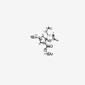 CC(=O)SC[C@@]1(O[SiH](C)C)C[C@H](C(C)(C)C)CN1C(=O)OC(C)(C)C